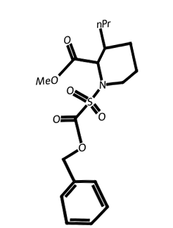 CCCC1CCCN(S(=O)(=O)C(=O)OCc2ccccc2)C1C(=O)OC